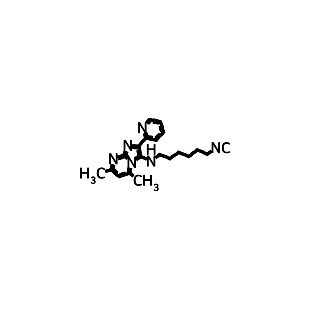 [C-]#[N+]CCCCCCNc1c(-c2ccccn2)nc2nc(C)cc(C)n12